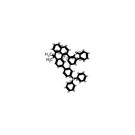 CC1(C)c2ccc(-c3ccc(N(c4ccccc4)c4ccccc4)cc3)cc2-c2c(-c3cccc4c3sc3ccccc34)ccc3cccc1c23